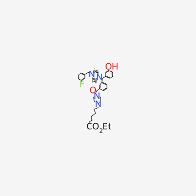 CCOC(=O)CCCCCCN1CCN(C(=O)c2cccc(C(c3cccc(O)c3)N3C[C@@H](C)N(Cc4cccc(F)c4)C[C@@H]3C)c2)CC1